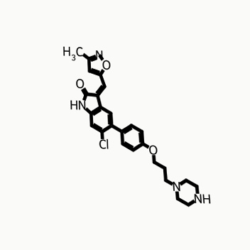 Cc1cc(/C=C2\C(=O)Nc3cc(Cl)c(-c4ccc(OCCCN5CCNCC5)cc4)cc32)on1